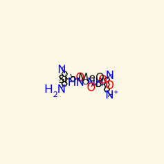 C/N=C1\C=CC2=C(c3ccc(C(=O)NC4CCC(NC(=O)c5ccc(-c6c7ccc(=[N+](C)C)cc-7oc7cc(N(C)C)ccc67)c(C(=O)OC)c5)CC4)cc3C)c3ccc(N)cc3[Si](C)(C)C2=C1